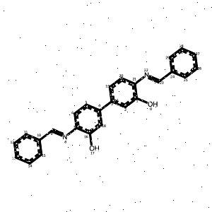 Oc1cc(-c2ccc(N=Cc3ccccc3)c(O)c2)ccc1N=Cc1ccccc1